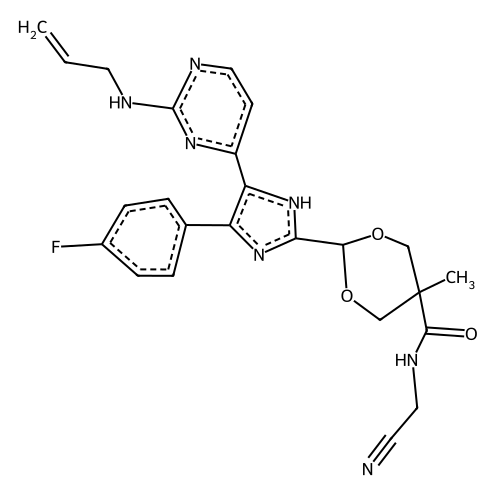 C=CCNc1nccc(-c2[nH]c(C3OCC(C)(C(=O)NCC#N)CO3)nc2-c2ccc(F)cc2)n1